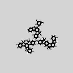 Cc1cc(C)cc(-c2cc3c(c4c2oc2ccccc24)-c2ccc(N(c4ccc5c(c4)C(C)(C)c4cc6c(cc4-5)C(C)(C)c4ccc5oc7ccccc7c5c4-6)c4ccc5c(c4)C(C)(C)c4c6c(c7oc8ccccc8c7c4-5)-c4ccccc4C6(C)C)cc2C3(C)C)c1